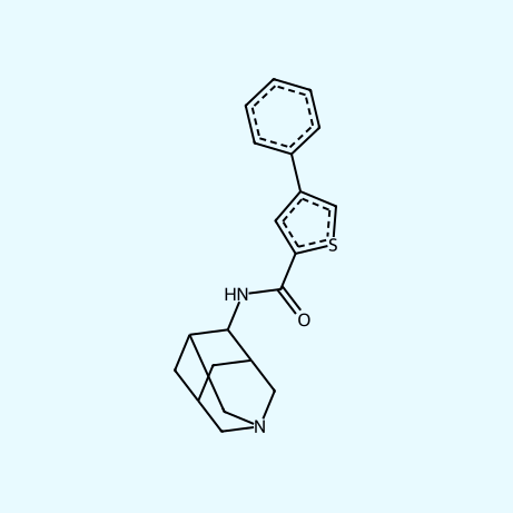 O=C(NC1C2CC3CC1CN(C3)C2)c1cc(-c2ccccc2)cs1